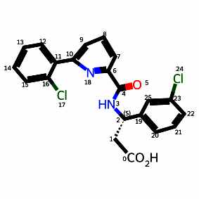 O=C(O)C[C@H](NC(=O)c1cccc(-c2ccccc2Cl)n1)c1cccc(Cl)c1